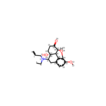 C=CCN(CC)C1Cc2ccc(OC)c3c2C2[C@H](O3)C(=O)CC[C@@]21O